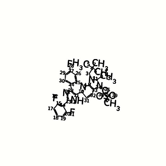 CC1N(CC(C)(C)C)c2nc(-c3[nH]c(-c4c(F)cccc4F)nc3-c3ccc(F)cc3)ccc2N1OS(C)(=O)=O